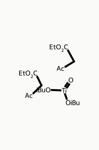 CC(C)C[O][Ti](=[O])[O]CC(C)C.CCOC(=O)CC(C)=O.CCOC(=O)CC(C)=O